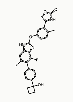 Cc1ccc(Oc2nc3c(F)c(-c4ccc(C5(O)CCC5)cc4)c(F)cc3[nH]2)cc1-c1noc(=O)[nH]1